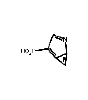 O=C(O)c1cnc2cc1-2